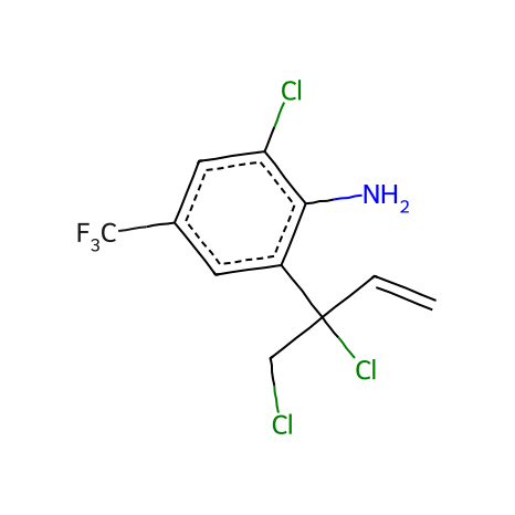 C=CC(Cl)(CCl)c1cc(C(F)(F)F)cc(Cl)c1N